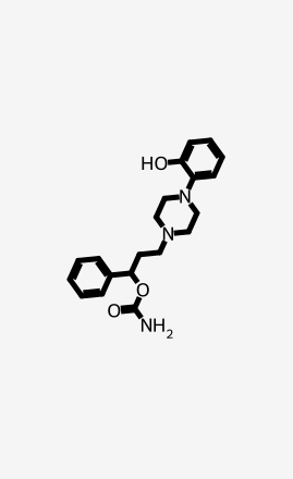 NC(=O)OC(CCN1CCN(c2ccccc2O)CC1)c1ccccc1